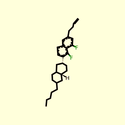 C=CCCc1cc(F)c2c(F)c([C@@H]3CC[C@@H]4CC(CCCCC)CCC4C3)ccc2c1